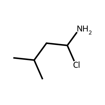 CC(C)CC(N)Cl